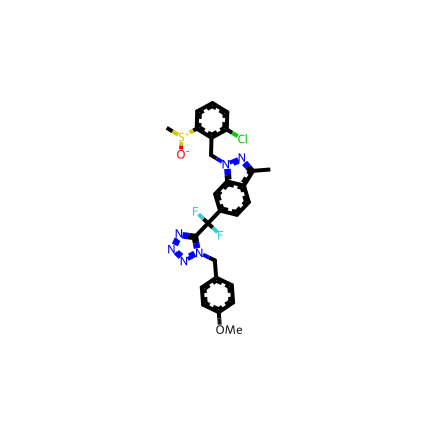 COc1ccc(Cn2nnnc2C(F)(F)c2ccc3c(C)nn(Cc4c(Cl)cccc4[S+](C)[O-])c3c2)cc1